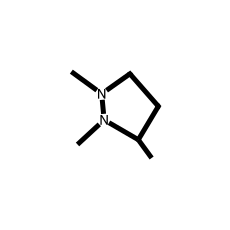 CC1CCN(C)N1C